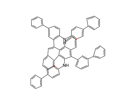 c1ccc(-c2ccc(Nc3ccc(-c4ccccc4)cc3-c3cc4ccccc4c4c(Nc5ccc(-c6ccccc6)cc5)c(-c5cccc(-c6ccccc6)c5)c5ccccc5c34)cc2)cc1